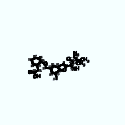 CC(C)(C)[S+]([O-])C(=N)c1cc2cc(COc3ccccc3CC(=O)O)cc(I)c2o1